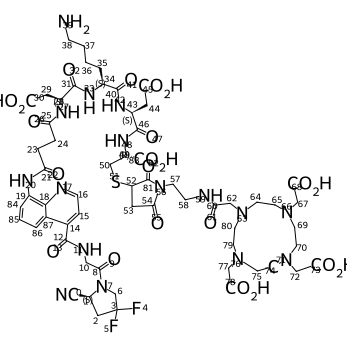 N#C[C@@H]1CC(F)(F)CN1C(=O)CNC(=O)c1ccnc2c(NC(=O)CCC(=O)N[C@@H](CC(=O)O)C(=O)N[C@@H](CCCCN)C(=O)N[C@@H](CC(=O)O)C(=O)N[C@@H](CSC3CC(=O)N(CCNC(=O)CN4CCN(CC(=O)O)CCN(CC(=O)O)CCN(CC(=O)O)CC4)C3=O)C(=O)O)cccc12